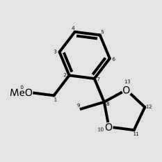 COCc1ccccc1C1(C)OCCO1